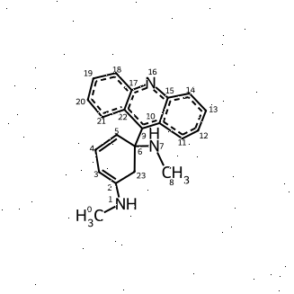 CNC1=CC=CC(NC)(c2c3ccccc3nc3ccccc23)C1